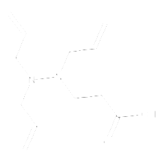 C=CCN(CC=C)N(CC=C)CCC(=O)O